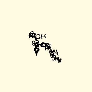 CN(C)CCCC[C@H](NC(=O)CNC(=O)COc1ccc([C@@H]2[C@@H](SCC(O)c3ccc4c(c3)CCO4)C(=O)N2c2ccc(F)cc2)cc1)C(=O)O